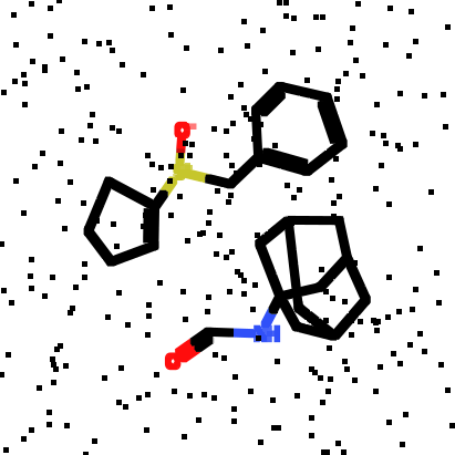 O=CNC12CC3CC(CC(C3)C1)C2.[O-][S+](Cc1ccccc1)C1=CCCC1